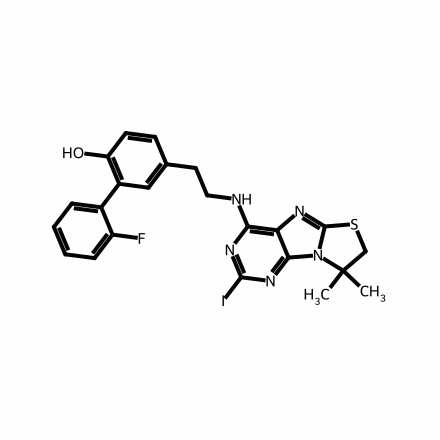 CC1(C)CSc2nc3c(NCCc4ccc(O)c(-c5ccccc5F)c4)nc(I)nc3n21